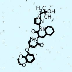 CC(C)(O)Cn1ccc(NC(=O)C(CC2CCCCC2)n2ncc(Oc3cccc4c3OCCO4)cc2=O)n1